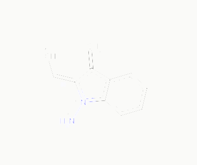 C=c1/c(=C\C)n(N)c2ccccc12